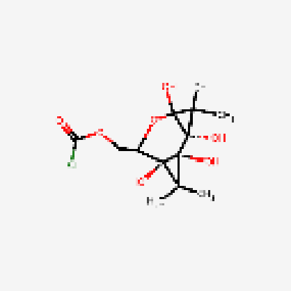 CC1(C)C2(O)O[C@H](COC(=O)Cl)[C@@]3(O)C(C)(C)[C@@]3(O)[C@]12O